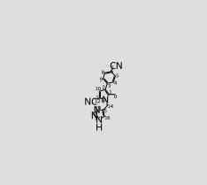 Cc1c(-c2ccc(C#N)cc2)cc(C#N)n1Cc1c[nH]nn1